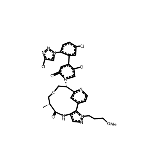 COCCCn1ncc2c1-c1ccnc(c1)[C@@H](n1cc(Cl)c(-c3cc(Cl)ccc3-n3cc(Cl)nn3)cc1=O)CCC[C@@H](C)C(=O)N2